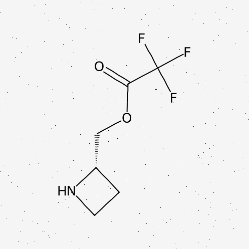 O=C(OC[C@@H]1CCN1)C(F)(F)F